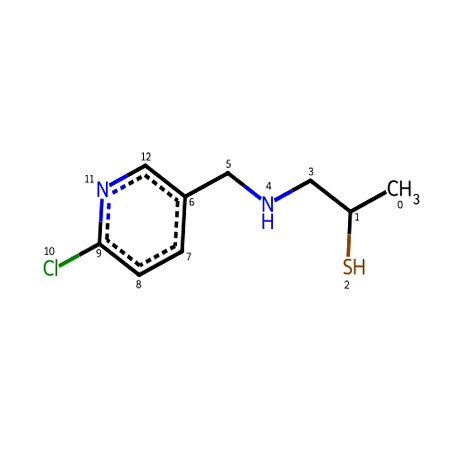 CC(S)CNCc1ccc(Cl)nc1